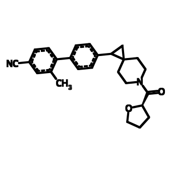 Cc1cc(C#N)ccc1-c1ccc(C2CC23CCN(C(=O)[C@H]2CCCO2)CC3)cc1